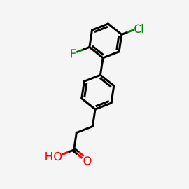 O=C(O)CCc1ccc(-c2cc(Cl)ccc2F)cc1